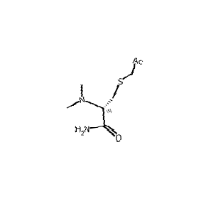 CC(=O)CSC[C@H](C(N)=O)N(C)C